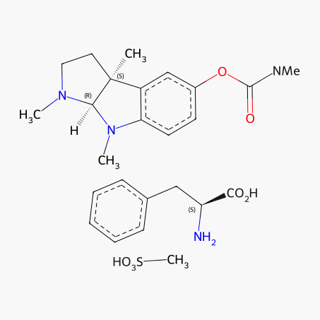 CNC(=O)Oc1ccc2c(c1)[C@]1(C)CCN(C)[C@@H]1N2C.CS(=O)(=O)O.N[C@@H](Cc1ccccc1)C(=O)O